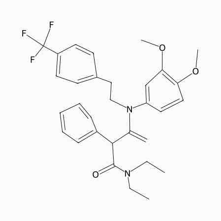 C=C(C(C(=O)N(CC)CC)c1ccccc1)N(CCc1ccc(C(F)(F)F)cc1)c1ccc(OC)c(OC)c1